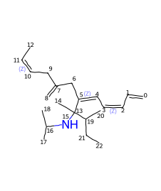 C=C/C=C\C=C(\CC(=C)C/C=C\C)C(C)(NC(C)C)C(C)CC